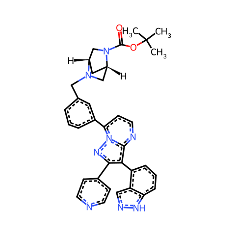 CC(C)(C)OC(=O)N1C[C@@H]2C[C@H]1CN2Cc1cccc(-c2ccnc3c(-c4cccc5[nH]ncc45)c(-c4ccncc4)nn23)c1